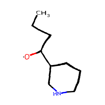 CCCC([O])C1CCCNC1